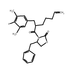 C=CCCCC(Cc1cc(C)c(F)c(C)c1)C(=O)N1C(=O)OCC1Cc1ccccc1